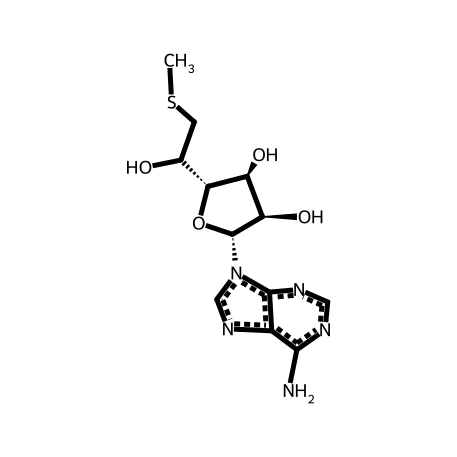 CSCC(O)[C@H]1O[C@@H](n2cnc3c(N)ncnc32)[C@H](O)[C@@H]1O